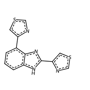 c1cc(-c2cscn2)c2nc(-c3cscn3)[nH]c2c1